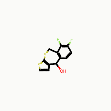 OC1c2ccsc2SCc2c1ccc(F)c2F